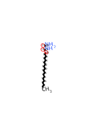 CCCCCCCCCCCCCCCCCCOC(=O)NC(N)=O